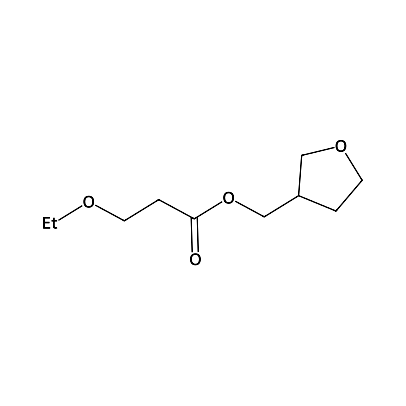 CCOCCC(=O)OCC1CCOC1